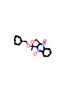 CC1(OCc2ccccc2)OCc2c1[n+]([O-])c1ccccc1[n+]2[O-]